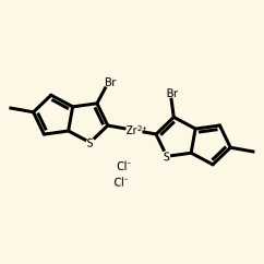 CC1=CC2S[C]([Zr+2][C]3=C(Br)C4=CC(C)=CC4S3)=C(Br)C2=C1.[Cl-].[Cl-]